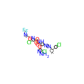 CC1(C)CCC(CN2CCN(c3ccc(C(=O)NS(=O)(=O)c4cnc(OCC5CCN(CC(F)F)C5)c(Cl)c4)c(Oc4cnc(N)c(Cl)c4)c3)CC2)=C(c2ccc(Cl)cc2)C1